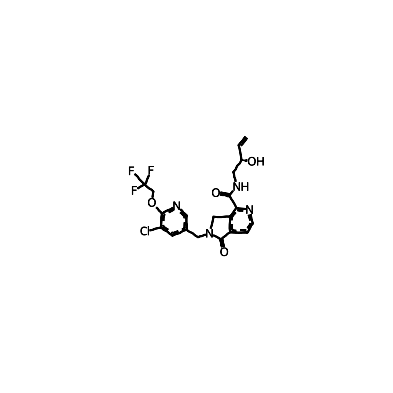 C=C[C@@H](O)CNC(=O)c1nccc2c1CN(Cc1cnc(OCC(F)(F)F)c(Cl)c1)C2=O